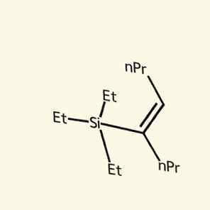 CCC/C=C(/CCC)[Si](CC)(CC)CC